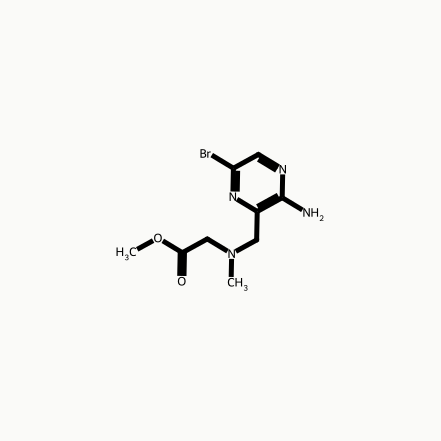 COC(=O)CN(C)Cc1nc(Br)cnc1N